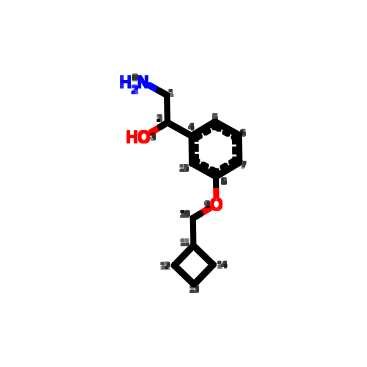 NCC(O)c1cccc(OCC2CCC2)c1